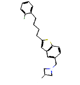 O=C(O)C1CN(Cc2ccc3sc(CCCCc4ccccc4Cl)cc3c2)C1